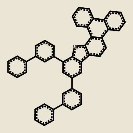 c1ccc(-c2cccc(-c3cc(-c4cccc(-c5ccccc5)c4)c4oc5c(ccc6c7ccccc7c7ccccc7c65)c4c3)c2)cc1